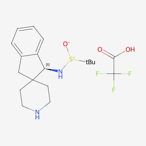 CC(C)(C)[S+]([O-])N[C@@H]1c2ccccc2CC12CCNCC2.O=C(O)C(F)(F)F